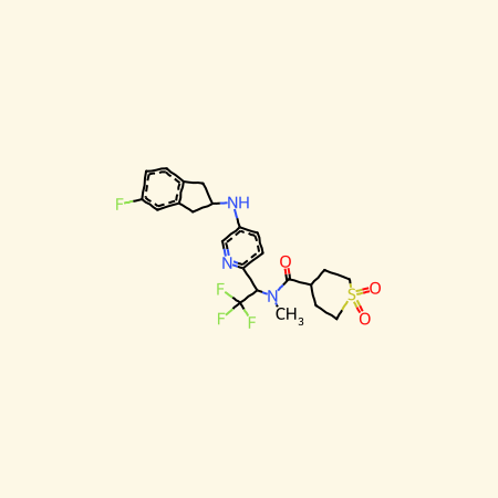 CN(C(=O)C1CCS(=O)(=O)CC1)C(c1ccc(NC2Cc3ccc(F)cc3C2)cn1)C(F)(F)F